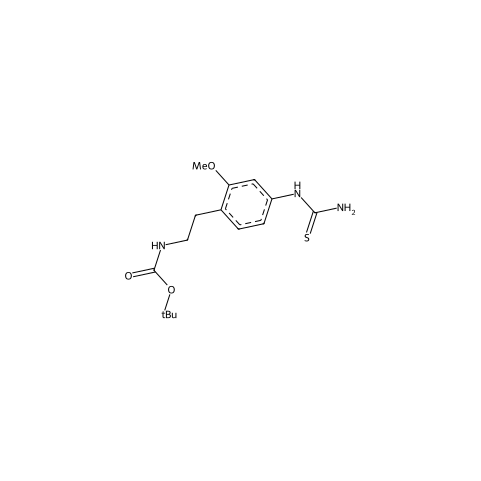 COc1cc(NC(N)=S)ccc1CCNC(=O)OC(C)(C)C